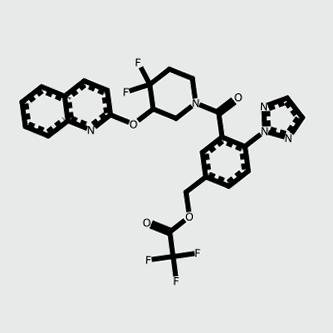 O=C(c1cc(COC(=O)C(F)(F)F)ccc1-n1nccn1)N1CCC(F)(F)C(Oc2ccc3ccccc3n2)C1